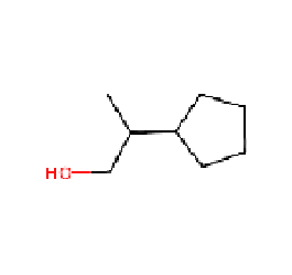 CC(CO)C1CCCC1